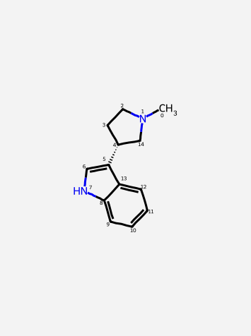 CN1CC[C@@H](c2c[nH]c3ccccc23)C1